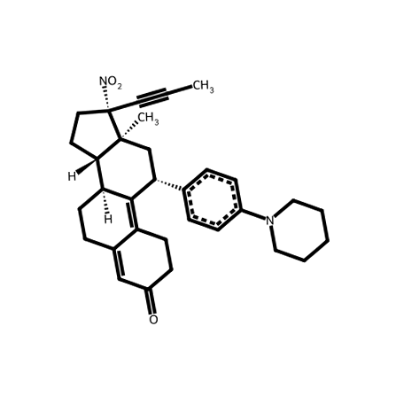 CC#C[C@]1([N+](=O)[O-])CC[C@H]2[C@@H]3CCC4=CC(=O)CCC4=C3[C@@H](c3ccc(N4CCCCC4)cc3)C[C@@]21C